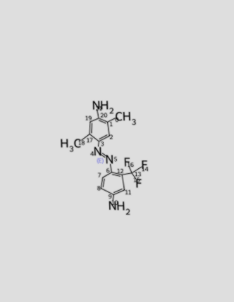 Cc1cc(/N=N/c2ccc(N)cc2C(F)(F)F)c(C)cc1N